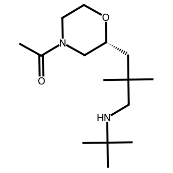 CC(=O)N1CCO[C@H](CC(C)(C)CNC(C)(C)C)C1